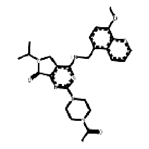 COc1ccc(CNc2nc(N3CCN(C(C)=O)CC3)nc3c2CN(C(C)C)C3=O)c2cccnc12